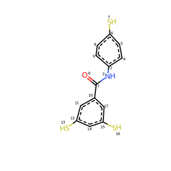 O=C(Nc1ccc(S)cc1)c1cc(S)cc(S)c1